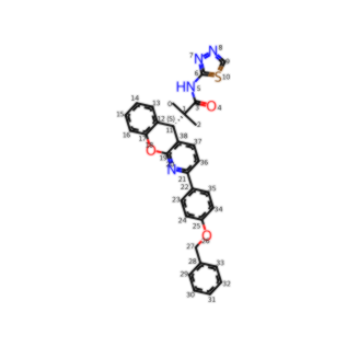 CC(C)(C(=O)Nc1nncs1)[C@H]1c2ccccc2Oc2nc(-c3ccc(OCc4ccccc4)cc3)ccc21